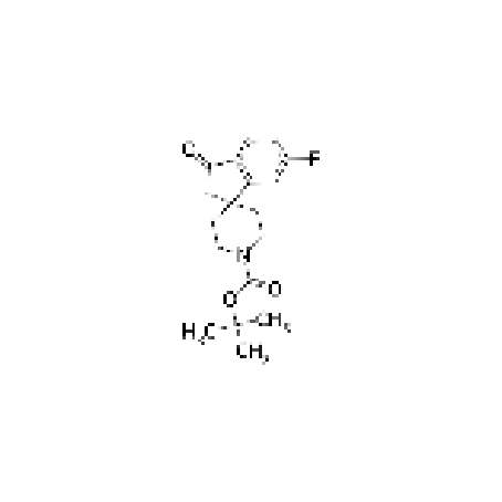 CC(C)(C)OC(=O)N1CCC2(CC1)CC(=O)c1ccc(F)cc12